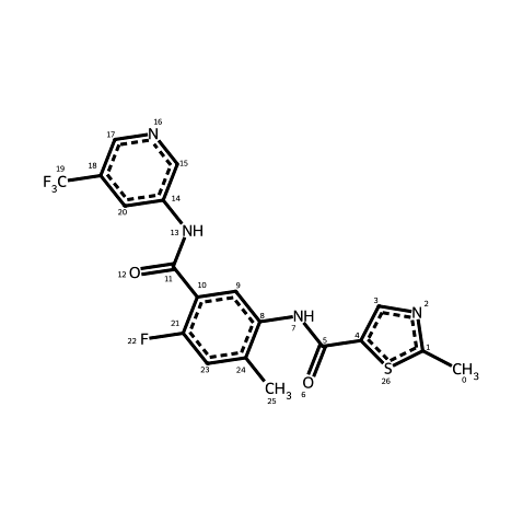 Cc1ncc(C(=O)Nc2cc(C(=O)Nc3cncc(C(F)(F)F)c3)c(F)cc2C)s1